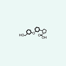 O=C(O)N1CCCC1c1cccc(Oc2cccc(CO)c2)c1